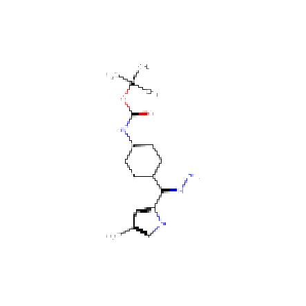 Cc1c[nH]c(/C(=N/N)C2CCC(NC(=O)OC(C)(C)C)CC2)c1